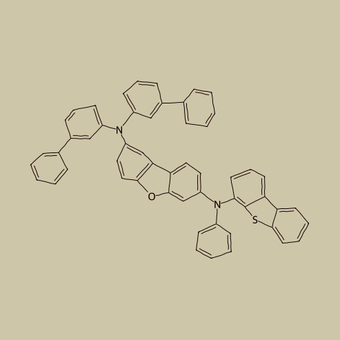 c1ccc(-c2cccc(N(c3cccc(-c4ccccc4)c3)c3ccc4oc5cc(N(c6ccccc6)c6cccc7c6sc6ccccc67)ccc5c4c3)c2)cc1